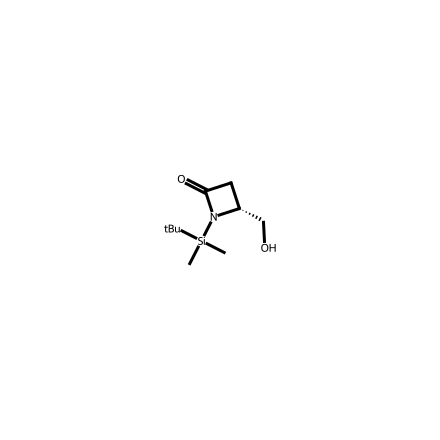 CC(C)(C)[Si](C)(C)N1C(=O)C[C@@H]1CO